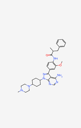 COc1cc(-c2nn(C3CCC(N4CCN(C)CC4)CC3)c3ncnc(N)c23)ccc1NC(=O)C(C)Cc1ccccc1